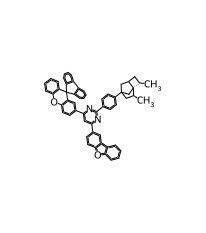 CC1CC2CC3(c4ccc(-c5nc(-c6ccc7c(c6)C6(c8ccccc8O7)c7ccccc7-c7ccccc76)cc(-c6ccc7oc8ccccc8c7c6)n5)cc4)C[C@H](C)[C@]12C3